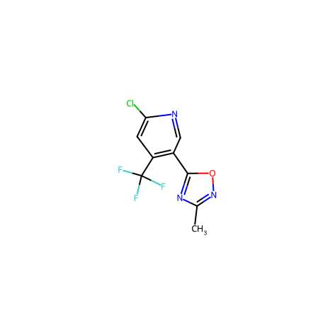 Cc1noc(-c2cnc(Cl)cc2C(F)(F)F)n1